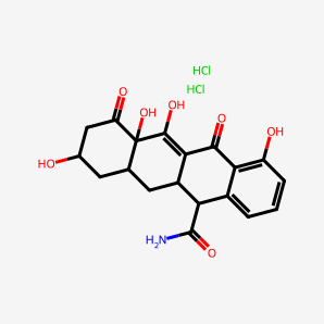 Cl.Cl.NC(=O)C1c2cccc(O)c2C(=O)C2=C(O)C3(O)C(=O)CC(O)CC3CC21